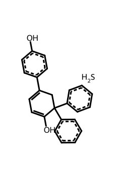 OC1=CC=C(c2ccc(O)cc2)CC1(c1ccccc1)c1ccccc1.S